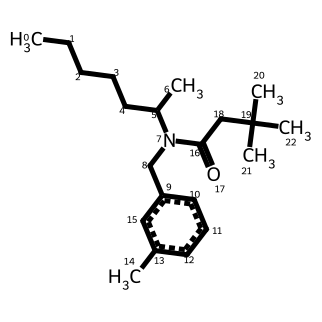 CCCCCC(C)N(Cc1cccc(C)c1)C(=O)CC(C)(C)C